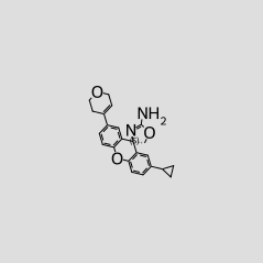 NC1=N[C@]2(CO1)c1cc(C3=CCOCC3)ccc1Oc1ccc(C3CC3)cc12